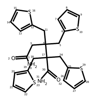 NC(=O)CC(Cc1cccs1)(Cc1cccs1)C(Cc1cccs1)(Cc1cccs1)C(N)=O